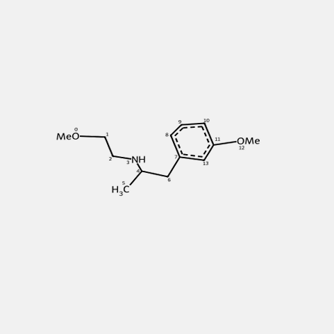 COCCNC(C)Cc1cccc(OC)c1